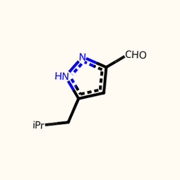 CC(C)Cc1cc(C=O)n[nH]1